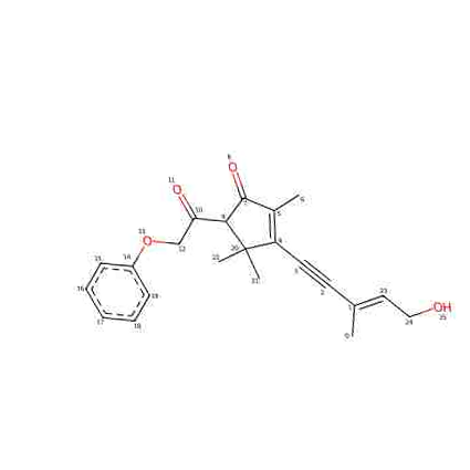 CC(C#CC1=C(C)C(=O)C(C(=O)COc2ccccc2)C1(C)C)=CCO